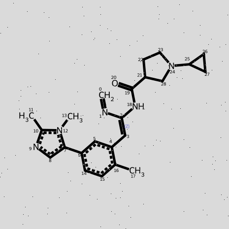 C=N/C(=C\c1cc(-c2cnc(C)n2C)ccc1C)NC(=O)C1CCN(C2CC2)C1